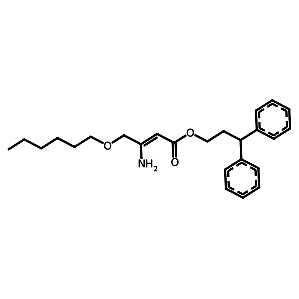 CCCCCCOCC(N)=CC(=O)OCCC(c1ccccc1)c1ccccc1